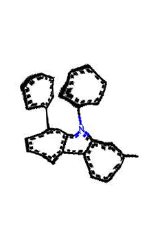 Cc1ccc2c3cccc(-c4ccccc4)c3n(-c3ccccc3)c2c1